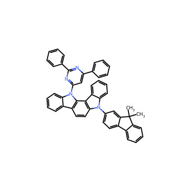 CC1(C)c2ccccc2-c2ccc(-n3c4ccccc4c4c3ccc3c5ccccc5n(-c5cc(-c6ccccc6)nc(-c6ccccc6)n5)c34)cc21